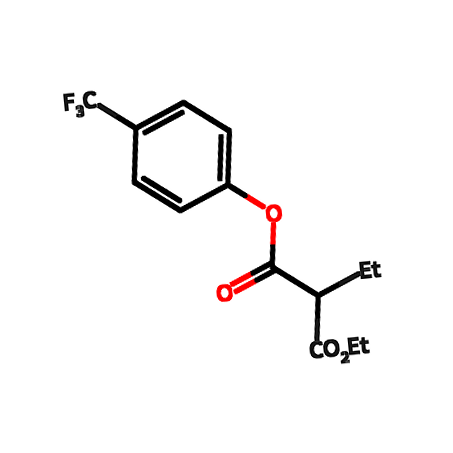 CCOC(=O)C(CC)C(=O)Oc1ccc(C(F)(F)F)cc1